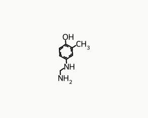 Cc1cc(NCN)ccc1O